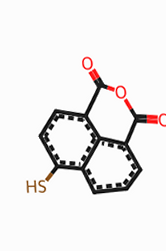 O=C1OC(=O)c2ccc(S)c3cccc1c23